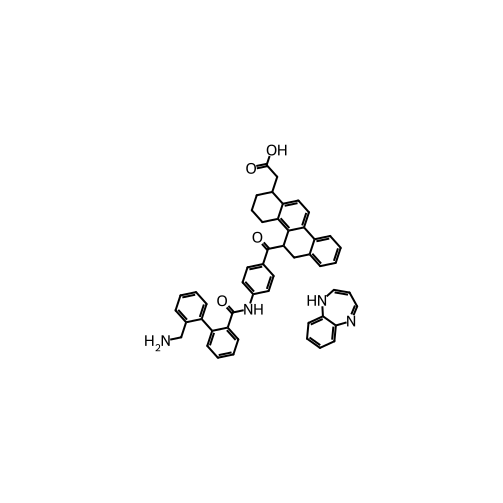 C1=CNc2ccccc2N=C1.NCc1ccccc1-c1ccccc1C(=O)Nc1ccc(C(=O)C2Cc3ccccc3-c3ccc4c(c32)CCCC4CC(=O)O)cc1